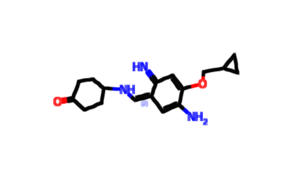 N=C1C=C(OCC2CC2)C(N)=C/C1=C/NC1CCC(=O)CC1